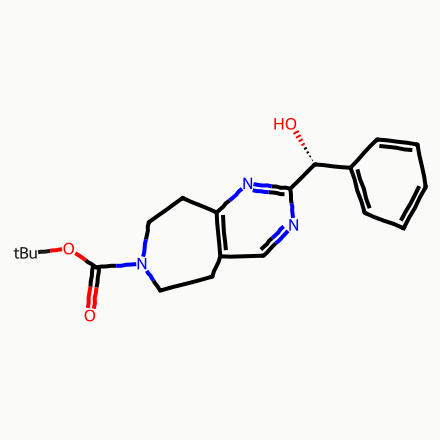 CC(C)(C)OC(=O)N1CCc2cnc([C@H](O)c3ccccc3)nc2CC1